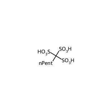 [CH2]CCCCC(S(=O)(=O)O)(S(=O)(=O)O)S(=O)(=O)O